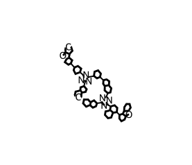 c1cc(-c2ccc3ccc(-c4nc(-c5ccc6ccccc6c5)nc(-c5ccc(-c6cccc7oc8ccccc8c67)c6ccccc56)n4)cc3c2)cc(-c2nc(-c3ccc(-c4ccc5oc6ccccc6c5c4)cc3)nc(-c3ccc4ccccc4c3)n2)c1